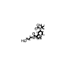 CC(C)(C)N(C(=O)O)c1ccn2ncc(C(=O)NCCCO)c2c1